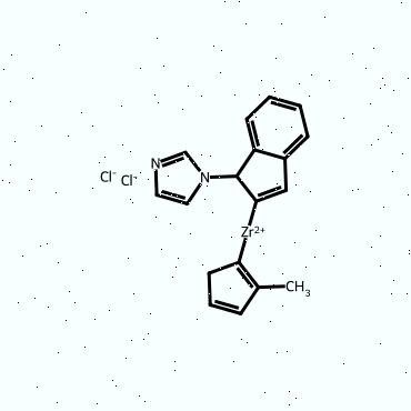 CC1=[C]([Zr+2][C]2=Cc3ccccc3C2n2ccnc2)CC=C1.[Cl-].[Cl-]